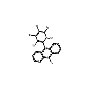 [2H]C1=C([2H])C([2H])C([2H])C(c2c3ccccc3c(Br)c3ccccc23)=C1[2H]